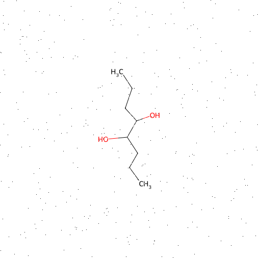 C[CH]CC(O)C(O)CCC